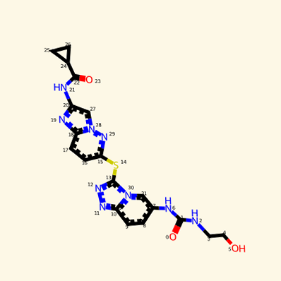 O=C(NCCO)Nc1ccc2nnc(Sc3ccc4nc(NC(=O)C5CC5)cn4n3)n2c1